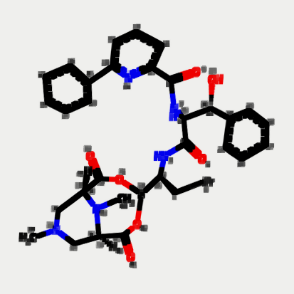 CC(C)C[C@H](NC(=O)[C@@H](NC(=O)c1cccc(-c2ccccc2)n1)[C@H](O)c1ccccc1)B1OC(=O)[C@H]2CN(C)C[C@H](C(=O)O1)N2C